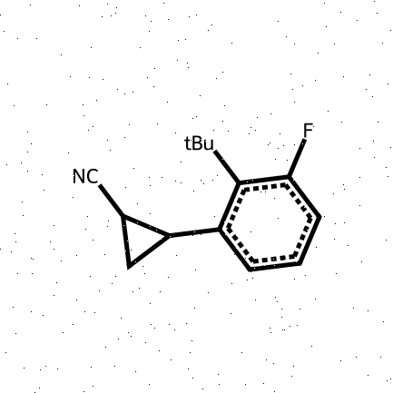 CC(C)(C)c1c(F)cccc1C1CC1C#N